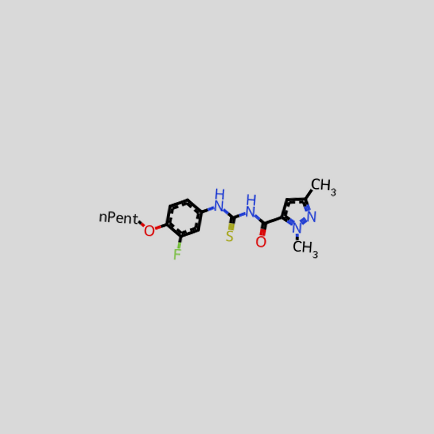 CCCCCOc1ccc(NC(=S)NC(=O)c2cc(C)nn2C)cc1F